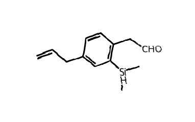 C=CCc1ccc(CC=O)c([SiH](C)C)c1